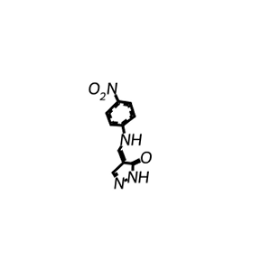 O=C1NN=C/C1=C/Nc1ccc([N+](=O)[O-])cc1